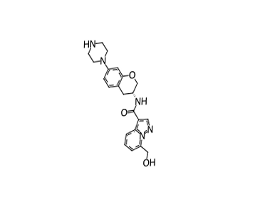 O=C(N[C@H]1COc2cc(N3CCNCC3)ccc2C1)c1cnn2c(CO)cccc12